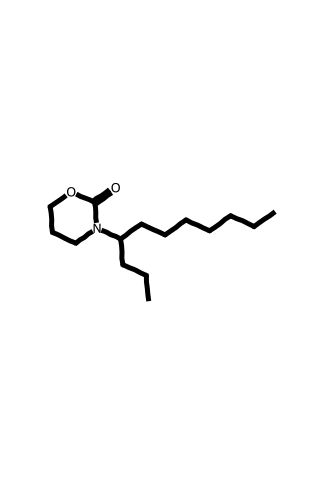 CCCCCCCC(CCC)N1CCCOC1=O